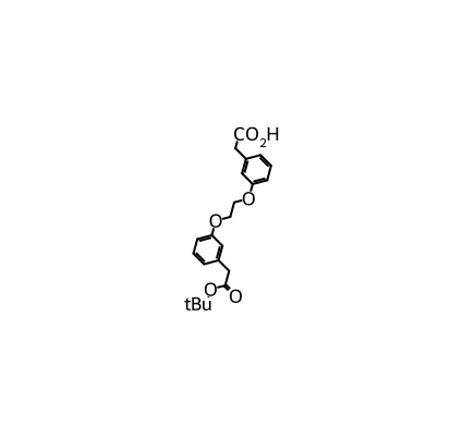 CC(C)(C)OC(=O)Cc1cccc(OCCOc2cccc(CC(=O)O)c2)c1